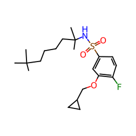 CC(C)(C)CCCCC(C)(C)NS(=O)(=O)c1ccc(F)c(OCC2CC2)c1